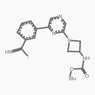 CC(C)(C)OC(=O)NC1CN(c2cncc(-c3cccc(C(=N)I)c3)n2)C1